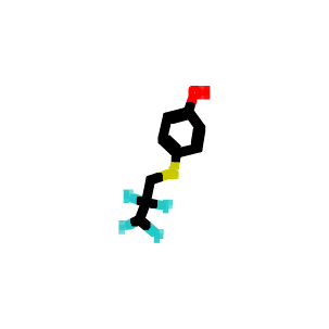 Oc1ccc(SCC(F)(F)C(F)F)cc1